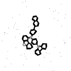 C1=CC2Oc3cccc(N(c4ccc(-c5ccc6ccccc6c5)cc4)c4ccc(-n5c6ccccc6c6ccccc65)cc4)c3C2C=C1